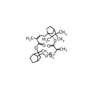 C=C(C)C(=O)OC1(C)C2(C/C=C(/C)C(=O)OC3(C)CC4CCC3C4COC)CCC(C2)C1(C)C